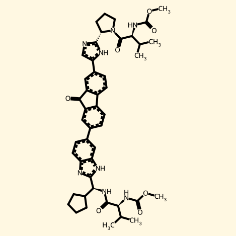 COC(=O)N[C@H](C(=O)N[C@H](c1nc2ccc(-c3ccc4c(c3)C(=O)c3cc(-c5cnc([C@@H]6CCCN6C(=O)[C@@H](NC(=O)OC)C(C)C)[nH]5)ccc3-4)cc2[nH]1)C1CCCC1)C(C)C